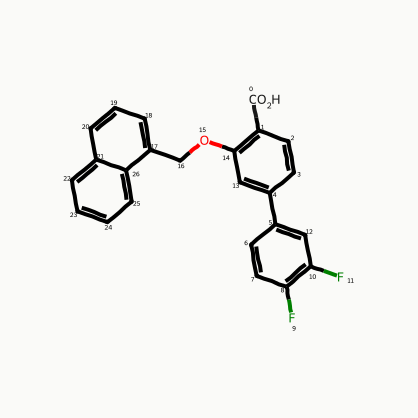 O=C(O)c1ccc(-c2ccc(F)c(F)c2)cc1OCc1cccc2ccccc12